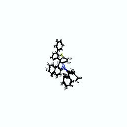 c1ccc(-c2cccc3c2sc2ccc4c(c23)c2c3ccccc3ccc2n4-c2cccc3ccccc23)cc1